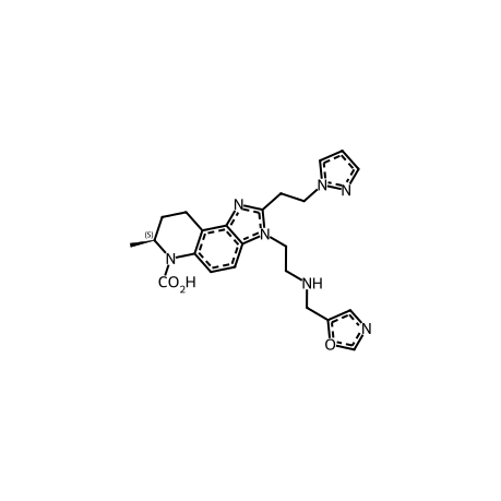 C[C@H]1CCc2c(ccc3c2nc(CCn2cccn2)n3CCNCc2cnco2)N1C(=O)O